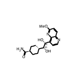 COc1ccc2nccc([C@@H](O)[C@H](O)[C@H]3CC[C@H](C(N)=O)CC3)c2n1